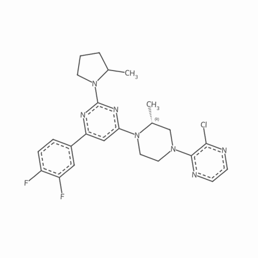 CC1CCCN1c1nc(-c2ccc(F)c(F)c2)cc(N2CCN(c3nccnc3Cl)C[C@H]2C)n1